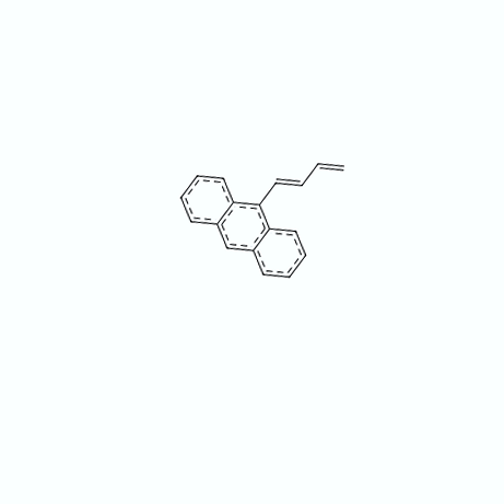 C=CC=Cc1c2ccccc2cc2ccccc12